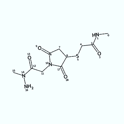 CNC(=O)CSC1CC(=O)N(CC(=O)N(C)N)C1=O